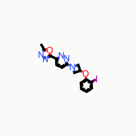 Cc1nnc(-c2ccc(N3CC(Oc4ccccc4I)C3)nn2)o1